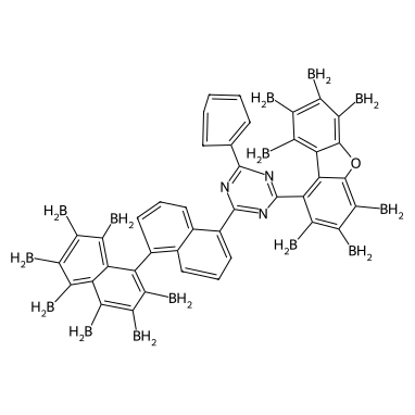 Bc1c(B)c(B)c2c(oc3c(B)c(B)c(B)c(-c4nc(-c5ccccc5)nc(-c5cccc6c(-c7c(B)c(B)c(B)c8c(B)c(B)c(B)c(B)c78)cccc56)n4)c32)c1B